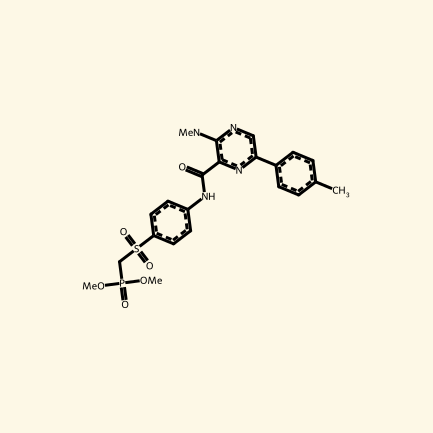 CNc1ncc(-c2ccc(C)cc2)nc1C(=O)Nc1ccc(S(=O)(=O)CP(=O)(OC)OC)cc1